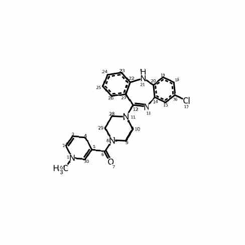 CN1C=CCC(C(=O)N2CCN(C3=Nc4cc(Cl)ccc4Nc4ccccc43)CC2)=C1